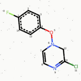 Fc1ccc(ON2C=CN=C(Cl)C2)cc1